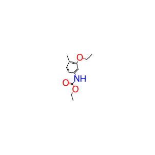 CCOC(=O)Nc1ccc(C)c(OCC)c1